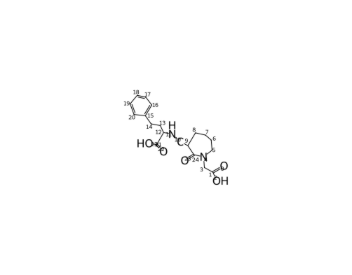 O=C(O)CN1CCCCC(CNC(CCc2ccccc2)C(=O)O)C1=O